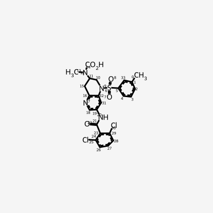 Cc1cccc(S(=O)(=O)N2CC(N(C)C(=O)O)Cc3ncc(NC(=O)c4c(Cl)cccc4Cl)cc32)c1